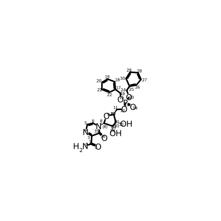 NC(=O)c1nccn([C@@H]2O[C@@H](COP(=O)(OCc3ccccc3)OCc3ccccc3)[C@H](O)[C@@H]2O)c1=O